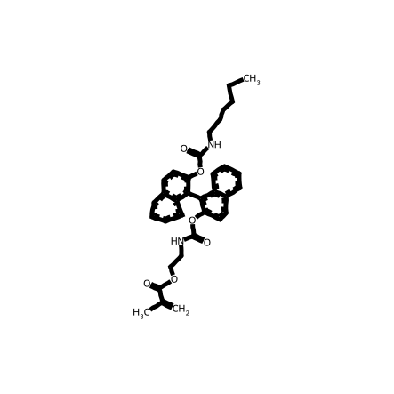 C=C(C)C(=O)OCCNC(=O)Oc1ccc2ccccc2c1-c1c(OC(=O)NCCCCCC)ccc2ccccc12